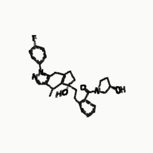 CC1C2=C(CC[C@@]2(O)CCc2ccccc2C(=O)N2CC[C@@H](O)C2)Cc2c1cnn2-c1ccc(F)cc1